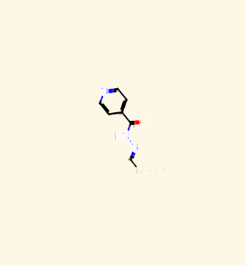 CCCCC/C=N/NC(=O)c1ccncc1